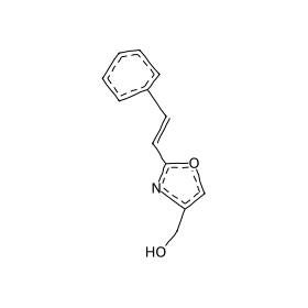 OCc1coc(C=Cc2ccccc2)n1